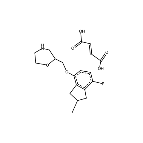 CC1Cc2c(F)ccc(OCC3CNCCO3)c2C1.O=C(O)/C=C/C(=O)O